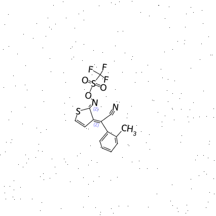 Cc1ccccc1/C(C#N)=C1\C=CS\C1=N/OS(=O)(=O)C(F)(F)F